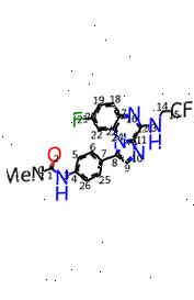 CNC(=O)Nc1ccc(-c2cnc3c(NCC(F)(F)F)nc4ccc(F)cc4n23)cc1